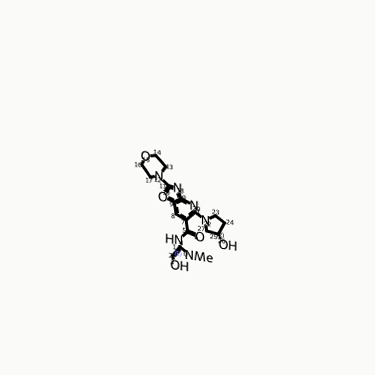 CN/C(=C\O)NC(=O)c1cc2oc(N3CCOCC3)nc2nc1N1CC[C@@H](O)C1